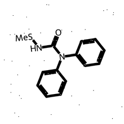 CSNC(=O)N(c1ccccc1)c1ccccc1